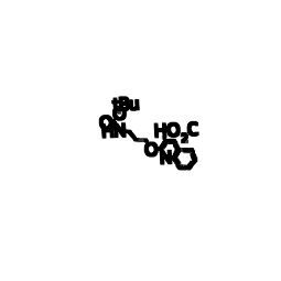 CC(C)(C)OC(=O)NCCCOc1nc2ccccc2cc1C(=O)O